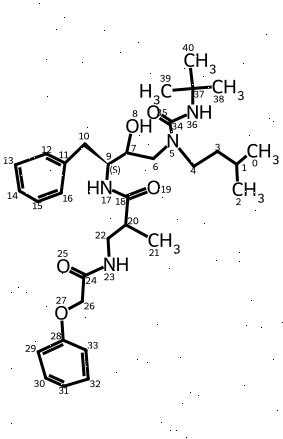 CC(C)CCN(CC(O)[C@H](Cc1ccccc1)NC(=O)C(C)CNC(=O)COc1ccccc1)C(=O)NC(C)(C)C